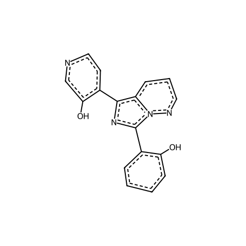 Oc1cnccc1-c1nc(-c2ccccc2O)n2ncccc12